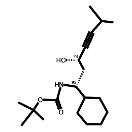 CC(C)C#C[C@@H](O)C[C@@H](NC(=O)OC(C)(C)C)C1CCCCC1